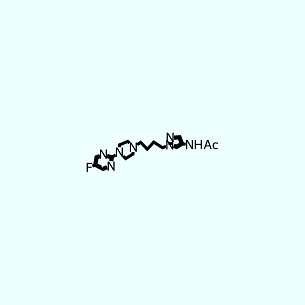 CC(=O)Nc1cnn(CCCCN2CCN(c3ncc(F)cn3)CC2)c1